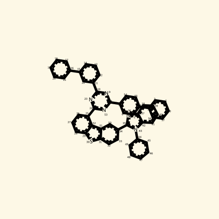 c1ccc(-c2ccc(-c3nc(-c4cccc(-c5ccccc5)c4)nc(-c4cccc5sc6ccc(-c7nc8ccccc8n7-c7ccccc7)cc6c45)n3)cc2)cc1